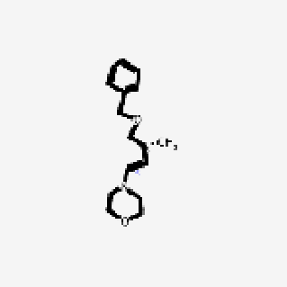 C[C@H](/C=C/N1CCOCC1)COCc1ccccc1